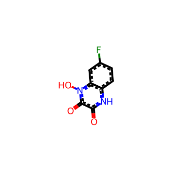 O=c1[nH]c2ccc(F)cc2n(O)c1=O